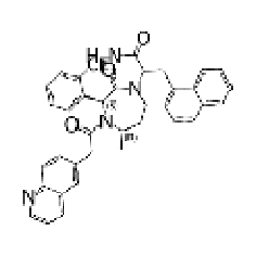 C[C@@H]1CCN(C(Cc2cccc3ccccc23)C(N)=O)C(=O)[C@H](c2ccccc2C(F)(F)F)N1C(=O)Cc1ccc2ncccc2c1